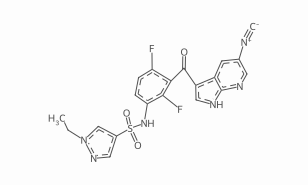 [C-]#[N+]c1cnc2[nH]cc(C(=O)c3c(F)ccc(NS(=O)(=O)c4cnn(CC)c4)c3F)c2c1